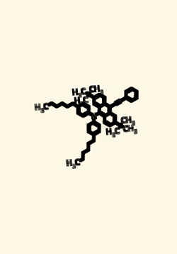 CCCCCCc1ccc(N(c2ccc(CCCCCC)cc2)c2c3ccc(C(C)(C)C)cc3c(C#Cc3ccccc3)c3ccc(C(C)(C)C)cc23)cc1